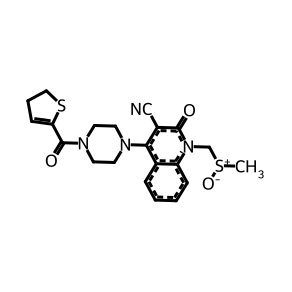 C[S+]([O-])Cn1c(=O)c(C#N)c(N2CCN(C(=O)C3=CCCS3)CC2)c2ccccc21